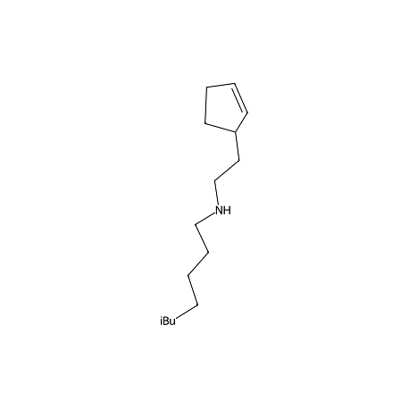 CCC(C)CCCCNCCC1C=CCC1